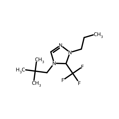 CCCN1N=CN(CC(C)(C)C)C1C(F)(F)F